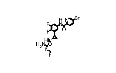 N/C(=N/CF)ON[C@@H]1C[C@@H]1c1cc(NC(=O)c2ccc(Br)cn2)cc(F)c1F